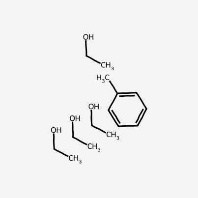 CCO.CCO.CCO.CCO.Cc1ccccc1